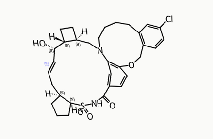 O=C1NS(=O)(=O)[C@H]2CCC[C@H]2C/C=C/[C@H](O)[C@@H]2CC[C@H]2CN2CCCCc3cc(Cl)ccc3COc3ccc1cc32